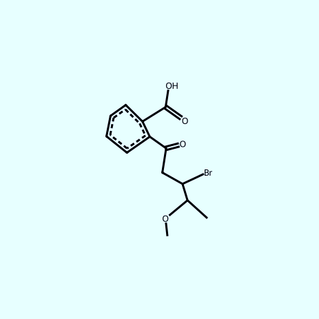 COC(C)C(Br)CC(=O)c1ccccc1C(=O)O